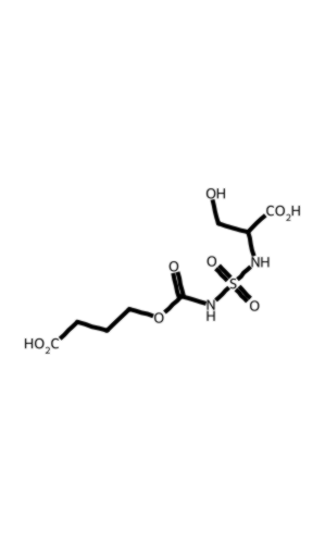 O=C(O)CCCOC(=O)NS(=O)(=O)NC(CO)C(=O)O